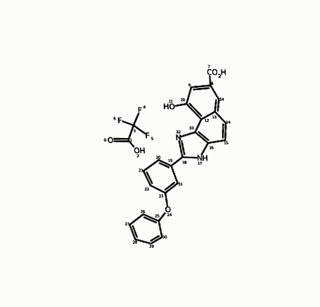 O=C(O)C(F)(F)F.O=C(O)c1cc(O)c2c(ccc3[nH]c(-c4cccc(Oc5ccccc5)c4)nc32)c1